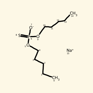 CCCCCOP([O-])(=S)OCCCCC.[Na+]